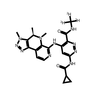 [2H]C([2H])([2H])NC(=O)c1nnc(NC(=O)C2CC2)cc1Nc1nccc2c1N(C)[C@H](C)c1c-2nnn1C